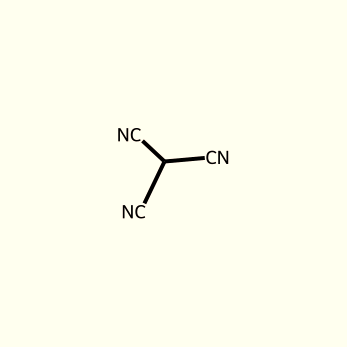 N#CC(C#N)C#N